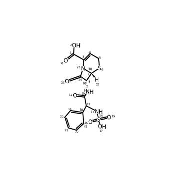 O=C(O)C1=CCS[C@@H]2[C@H](NC(=O)C(NS(=O)(=O)O)c3ccccc3)C(=O)N12